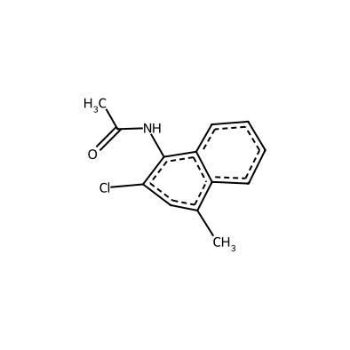 CC(=O)Nc1c(Cl)cc(C)c2ccccc12